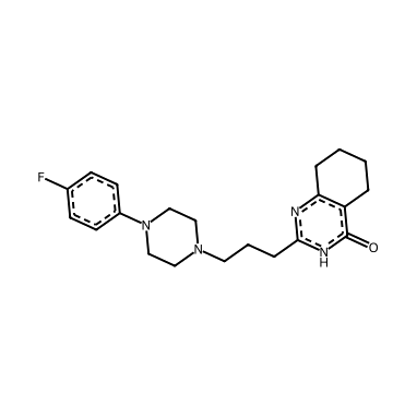 O=c1[nH]c(CCCN2CCN(c3ccc(F)cc3)CC2)nc2c1CCCC2